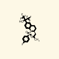 CC(=O)C[C@@H]1CCc2cc(C(O)(C(F)(F)F)C(F)(F)F)ccc2N1S(=O)(=O)c1ccc(F)cc1